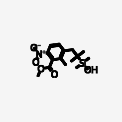 COC(=O)c1c([N+](=O)[O-])ccc(CC(C)(C)[Si](C)(C)O)c1C